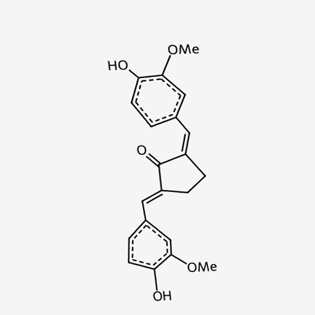 COc1cc(/C=C2/CC/C(=C\c3ccc(O)c(OC)c3)C2=O)ccc1O